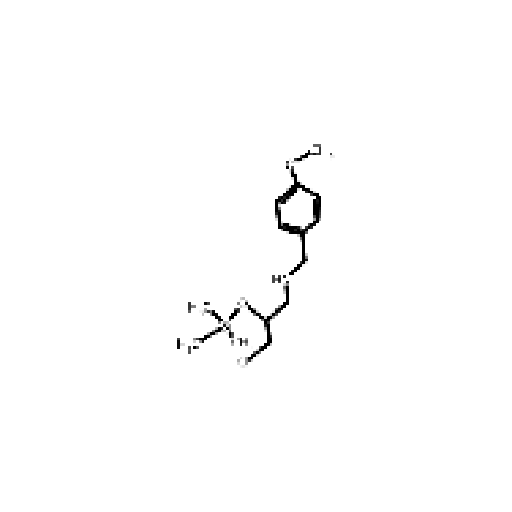 COc1ccc(CNCC(CCl)O[Si](C)(C)C)cc1